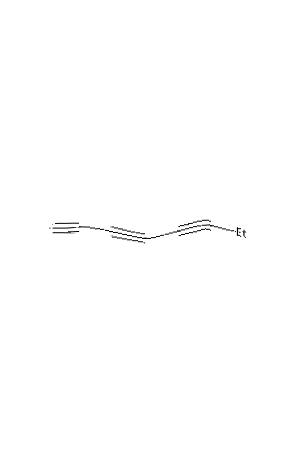 [C]#CC#CC#CC[CH2]